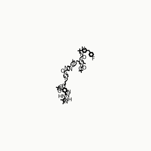 Cc1n[nH]c(Nc2ncnc3cc(OCCCN4CCN(C(=O)c5cnc(N6CCN(CC7CN(C(=O)OC(C)(C)C)C(C)CN7CC(=O)N7CC(C)(C)c8ncc(Cc9ccc(F)cc9)cc87)[C@H](C)C6)cn5)CC4)c(S(=O)(=O)C(C)(C)C)cc23)c1C